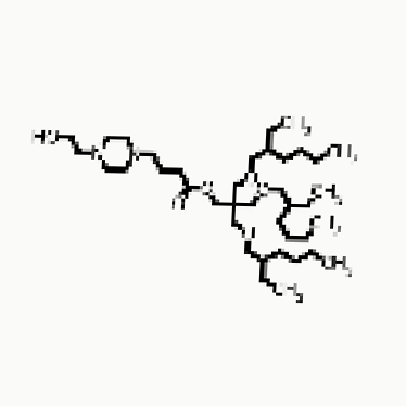 CCCCC(CC)COCC(COCC(CC)CCCC)(COCC(CC)CCCC)COC(=O)CCCN1CCN(CCO)CC1